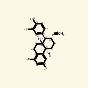 C=C[C@@H]1CC[C@H]2c3cc(F)cc(F)c3CC[C@@H]2[C@H]1c1ccc(Cl)c(F)c1